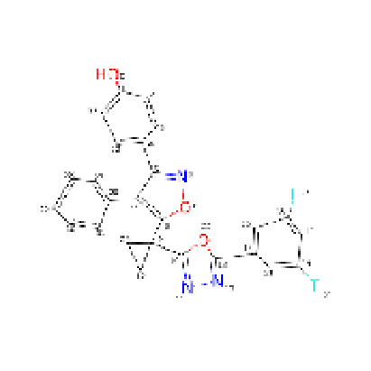 Oc1ccc(-c2noc(C3(c4nnc(-c5cc(F)cc(F)c5)o4)CC3)c2-c2ccccc2)cc1